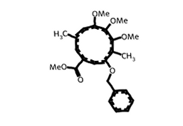 COC(=O)c1cc(C)cc(OC)c(OC)c(OC)c(C)c(OCc2ccccc2)c1